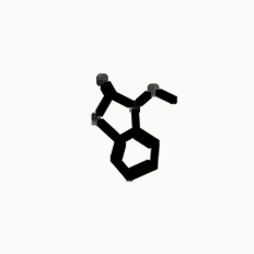 COn1c(=O)sc2c[c]ccc21